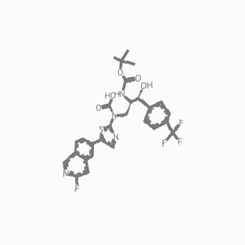 CC(C)(C)OC(=O)N[C@H](CN(C(=O)O)c1ncc(-c2ccc3cnc(F)cc3c2)s1)[C@@H](O)c1ccc(C(F)(F)F)cc1